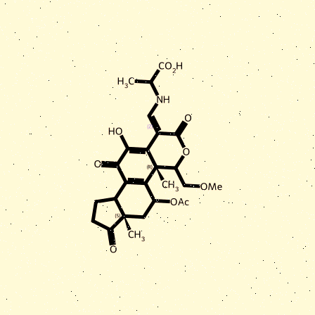 COCC1OC(=O)/C(=C\NC(C)C(=O)O)C2=C(O)C(=O)C3=C(C(OC(C)=O)C[C@]4(C)C(=O)CCC34)[C@]21C